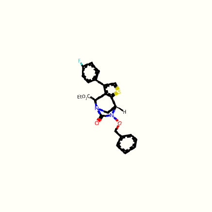 CCOC(=O)C1c2c(-c3ccc(F)cc3)csc2[C@H]2CN1C(=O)N2OCc1ccccc1